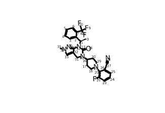 C[C@H](c1ccccc1C(F)(F)F)N1C(=O)N(C2CCN(c3c(F)cccc3C#N)CC2)Cc2cn(C)nc21